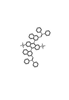 C[Si](C)(C)c1ccc2c(-c3cc(C=C(c4ccccc4)c4ccccc4)cc4ccccc34)c3cc([Si](C)(C)C)ccc3c(-c3cc(C=C(c4ccccc4)c4ccccc4)cc4ccccc34)c2c1